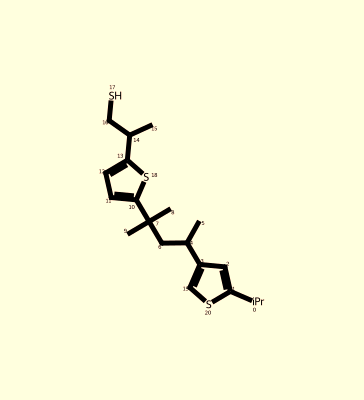 CC(C)c1cc(C(C)CC(C)(C)c2ccc(C(C)CS)s2)cs1